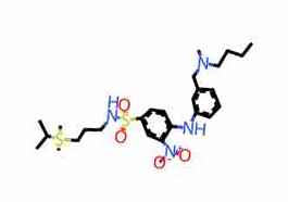 CCCCN(C)Cc1cccc(Nc2ccc(S(=O)(=O)NCCCS(C)(C)C(C)C)cc2[N+](=O)[O-])c1